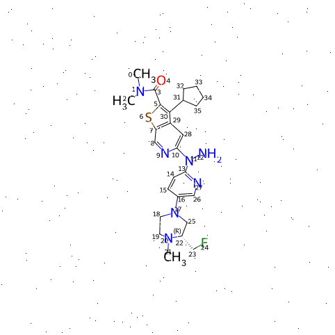 CN(C)C(=O)c1sc2cnc(N(N)c3ccc(N4CCN(C)[C@@H](CF)C4)cn3)cc2c1C1CCCC1